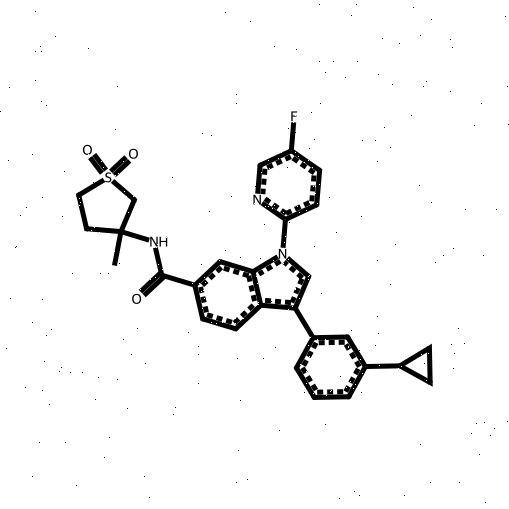 CC1(NC(=O)c2ccc3c(-c4cccc(C5CC5)c4)cn(-c4ccc(F)cn4)c3c2)CCS(=O)(=O)C1